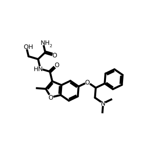 Cc1oc2ccc(OC(CN(C)C)c3ccccc3)cc2c1C(=O)NC(CO)C(N)=O